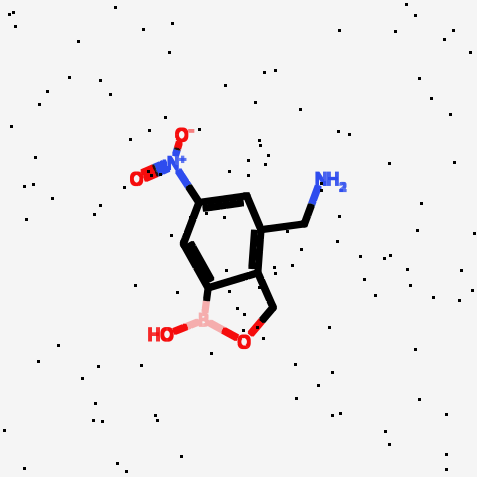 NCc1cc([N+](=O)[O-])cc2c1COB2O